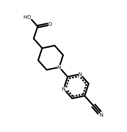 N#Cc1cnc(N2CCC(CC(=O)O)CC2)nc1